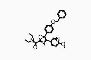 CCN(CC)C(=O)c1nc(-c2ccc(OC)nc2)c(-c2ccc(OCc3ccccc3)cc2)o1